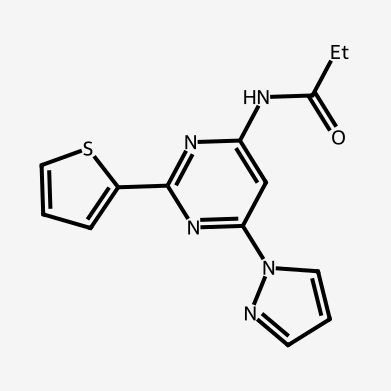 CCC(=O)Nc1cc(-n2cccn2)nc(-c2cccs2)n1